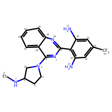 CCNC1CCN(c2nc(-c3c(N)cc(C(F)(F)F)cc3N)nc3ccccc23)C1